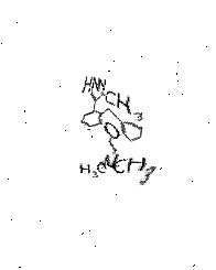 Cc1n[nH]cc1-c1cc[c]c(OCCN(C)C)c1Cc1ccccc1